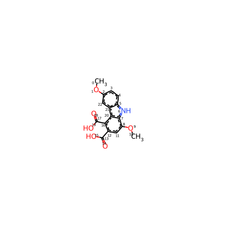 COc1ccc2[nH]c3c(OC)cc(C(=O)O)c(C(=O)O)c3c2c1